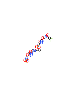 Cc1c(OC2CCN(C(=O)Cc3ccccc3CS(=O)(=O)N3CCC(Oc4ncnc(OC5CCN(C(=O)c6ccc(F)cc6)CC5)c4C)CC3)CC2)ncnc1OC1CCN(S(C)(=O)=O)CC1